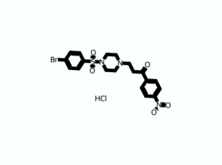 Cl.O=C(CCN1CCN(S(=O)(=O)c2ccc(Br)cc2)CC1)c1ccc([N+](=O)[O-])cc1